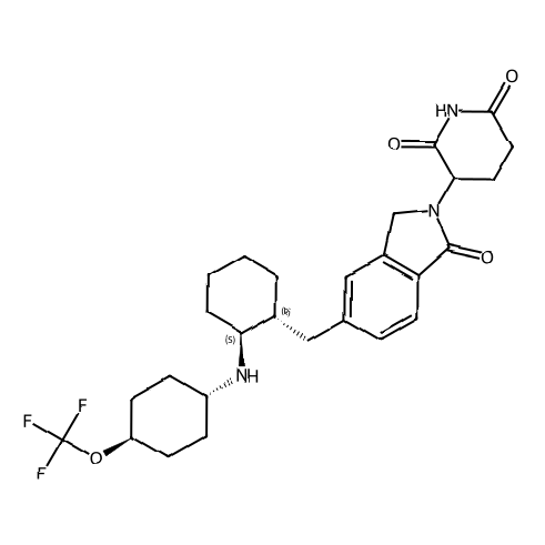 O=C1CCC(N2Cc3cc(C[C@H]4CCCC[C@@H]4N[C@H]4CC[C@H](OC(F)(F)F)CC4)ccc3C2=O)C(=O)N1